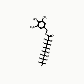 Cc1cc(COC(=O)C(F)(F)C(F)(F)C(F)(F)C(F)(F)C(F)(F)C(F)(F)C(F)(F)F)cc(C)c1O